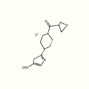 O=C([O-])c1cnc(C2CCN(C(=O)C3COC3)CC2)s1.[Li+]